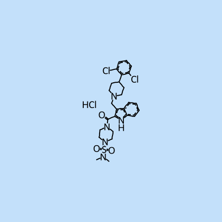 CN(C)S(=O)(=O)N1CCN(C(=O)c2[nH]c3ccccc3c2CN2CCC(c3c(Cl)cccc3Cl)CC2)CC1.Cl